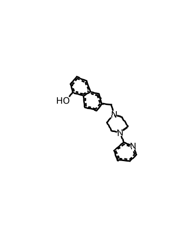 Oc1cccc2cc(CN3CCN(c4ccccn4)CC3)ccc12